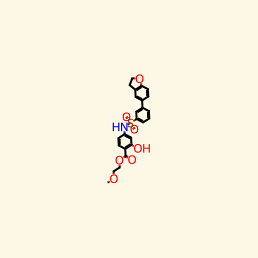 COCCOC(=O)c1ccc(NS(=O)(=O)c2cccc(-c3ccc4c(c3)CCO4)c2)cc1O